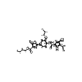 CCCCOC(=O)c1nc(N2CC[C@@H](NC(=O)c3nc(Cl)c(CC)[nH]3)[C@@H](OCCC)C2)oc1C